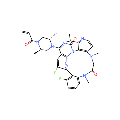 C=CC(=O)N1C[C@H](C)N(c2nc(=O)n3c4nc(c(F)cc24)-c2c(F)cccc2N(C)C(=O)CN(C)c2ccnc(C(C)C)c2-3)C[C@H]1C